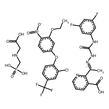 C/C(=N\NC(=O)Nc1cc(F)cc(F)c1)c1ncccc1C(=O)O.CCOc1cc(Oc2ccc(C(F)(F)F)cc2Cl)ccc1[N+](=O)[O-].O=C(O)CNCP(=O)(O)O